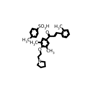 Cc1ccc(S(=O)(=O)O)cc1.Cc1ccccc1/C=C/C(=O)c1cc(C)c(OCCN2CCCC2)c(C)c1